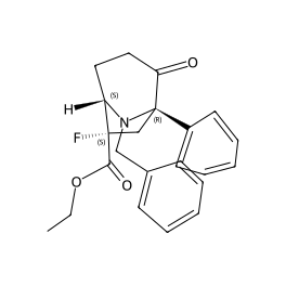 CCOC(=O)[C@]1(F)C[C@@]2(c3ccccc3)C(=O)CC[C@@H]1N2Cc1ccccc1